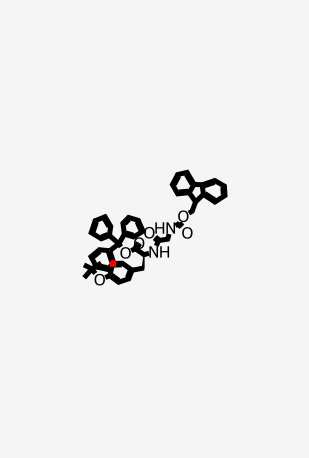 CC(C)(C)Oc1ccc(C[C@H](NC(=O)CNC(=O)OCC2c3ccccc3-c3ccccc32)C(=O)OC(c2ccccc2)(c2ccccc2)c2ccccc2)cc1